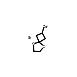 [Br-].[Zn+][CH]1CC2(C1)OCCO2